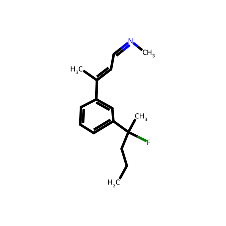 CCCC(C)(F)c1cccc(/C(C)=C/C=N\C)c1